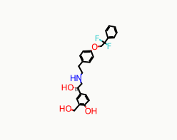 OCc1cc([C@H](O)CNCCc2ccc(OCC(F)(F)c3ccccc3)cc2)ccc1O